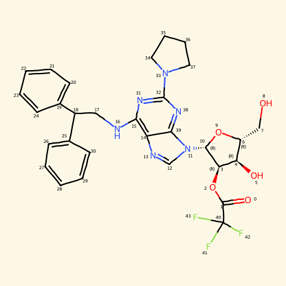 O=C(O[C@@H]1[C@H](O)[C@@H](CO)O[C@H]1n1cnc2c(NCC(c3ccccc3)c3ccccc3)nc(N3CCCC3)nc21)C(F)(F)F